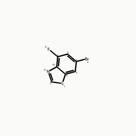 Fc1cc(Br)cc2s[c]nc12